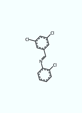 Clc1cc(Cl)cc(C=Nc2ccccc2Cl)c1